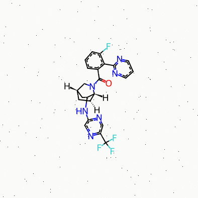 O=C(c1cccc(F)c1-c1ncccn1)N1C[C@H]2CC[C@@H]1[C@@H](Nc1cnc(C(F)(F)F)cn1)C2